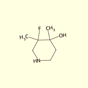 CC1(O)CCNCC1(C)F